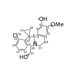 COc1cc2c(cc1O)C(C1(c3ccccc3Cl)CC1)N(CCO)CC2